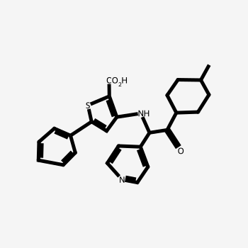 CC1CCC(C(=O)C(Nc2cc(-c3ccccc3)sc2C(=O)O)c2ccncc2)CC1